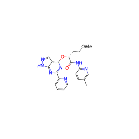 COCC[C@@H](Oc1nc(-c2ccccn2)nc2[nH]ncc12)C(=O)Nc1ccc(C)cn1